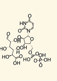 O=C[C@H](O)[C@@H](O)[C@H](O)[C@H](O)C(=O)O.O=c1ccn([C@@H]2O[C@H](COP(=O)(O)OP(=O)(O)O)[C@@H](O)[C@H]2O)c(=O)[nH]1